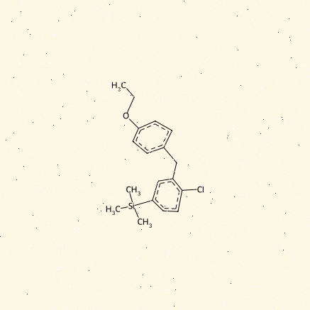 CCOc1ccc(Cc2cc([Si](C)(C)C)ccc2Cl)cc1